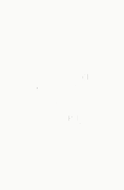 Cc1c(P)c(C)c(Cl)c(C)c1Cl